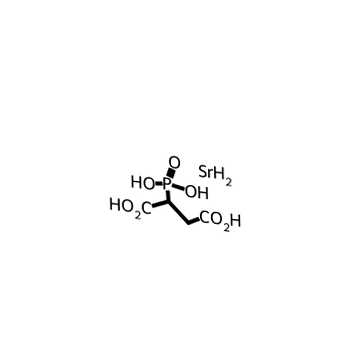 O=C(O)CC(C(=O)O)P(=O)(O)O.[SrH2]